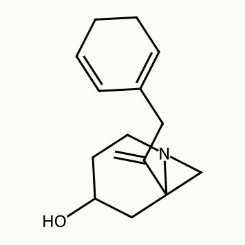 C=C(CC1=CCCC=C1)C12CC(O)CCN1C2